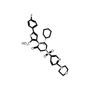 O=C(O)c1sc(-c2ccc(F)cc2)cc1N1C(=O)CN(S(=O)(=O)c2ccc(N3CCOCC3)nc2)C[C@H]1C1CCCCC1